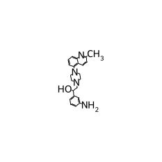 Cc1ccc2c(N3CCN(CC(O)c4cccc(N)c4)CC3)cccc2n1